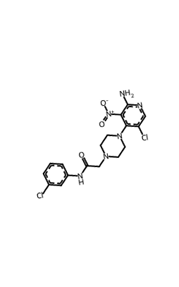 Nc1ncc(Cl)c(N2CCN(CC(=O)Nc3cccc(Cl)c3)CC2)c1[N+](=O)[O-]